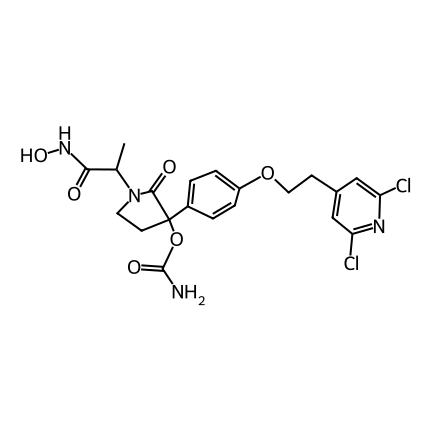 CC(C(=O)NO)N1CCC(OC(N)=O)(c2ccc(OCCc3cc(Cl)nc(Cl)c3)cc2)C1=O